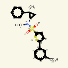 C[C@]1(c2ccccc2)C[C@@H]1N(C(=O)O)S(=O)(=O)c1ccc(-c2cccc(C(=O)O)c2)s1